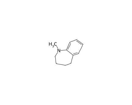 CN1CCCCc2ccccc21